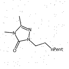 CCCCCCCn1nc(C)n(C)c1=O